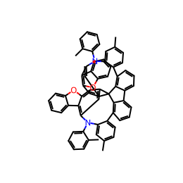 Cc1ccc2c(c1)N(c1ccccc1C)c1cc3c(c4oc5ccccc5c14)-c1c4cc(c5c1oc1ccccc15)N(c1ccccc1C)c1cc(C)ccc1-c1cccc5c1C34c1c-2cccc1-5